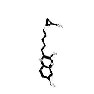 CC1C[C@H]1CCCCCc1nc2ccc(C(F)(F)F)cc2nc1O